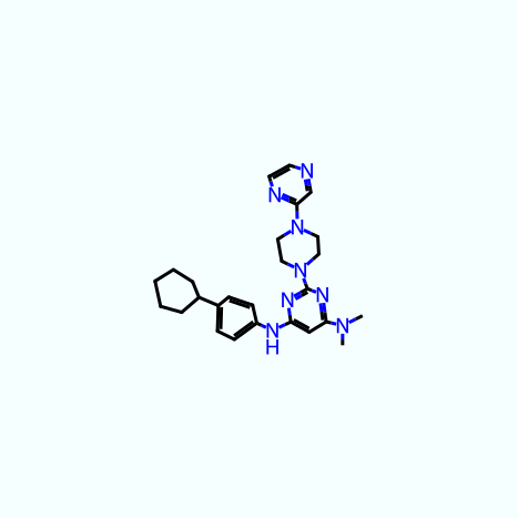 CN(C)c1cc(Nc2ccc(C3CCCCC3)cc2)nc(N2CCN(c3cnccn3)CC2)n1